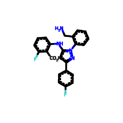 NCc1ccccc1-n1nc(-c2ccc(F)cc2)cc1Nc1cccc(F)c1C(=O)O